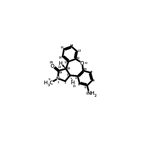 CN1C[C@@H]2c3cc(N)ccc3Oc3ccccc3[C@H]2C1=O